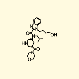 CC(C)CN(C(=O)c1nc2ccccc2n1CCCCO)[C@@H]1CNC[C@H](C(=O)N2CCOCC2)C1